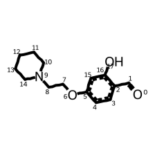 O=Cc1ccc(OCCN2CCCCC2)cc1O